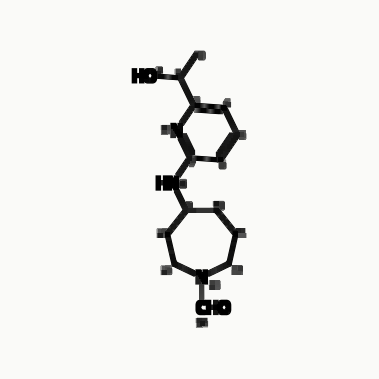 CC(O)c1cccc(NC2CCCN(C=O)CC2)n1